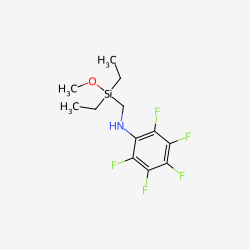 CC[Si](CC)(CNc1c(F)c(F)c(F)c(F)c1F)OC